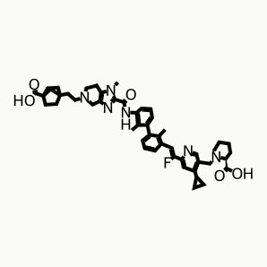 Cc1c(/C=C(\F)c2cc(C3CC3)c(CN3CCCC[C@H]3C(=O)O)cn2)cccc1-c1cccc(NC(=O)c2nc3c(n2C)CCN(CCC24CCC(C(=O)O)(CC2)C4)C3)c1C